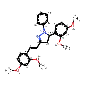 COc1ccc(C=CC2=NN(c3ccccc3)C(c3ccc(OC)cc3OC)C2)c(OC)c1